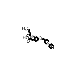 CCCCC(=O)NC(Cc1ccc(OCCC2CCN(c3ccncc3)CC2)cc1)C(=O)O